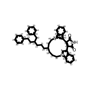 O=C1NC(=O)C2=C1c1cn(c3ccccc13)CCCC(CCCC(CCc1ccccc1)Cc1ccccc1)CCn1cc2c2ccccc21